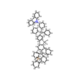 CC1(C)c2cc([Si](c3ccccc3)(c3ccccc3)c3cccc(-n4c5ccccc5c5ccccc54)c3)ccc2-c2ccc([Si](c3ccccc3)(c3ccccc3)c3cccc4c3sc3ccccc34)cc21